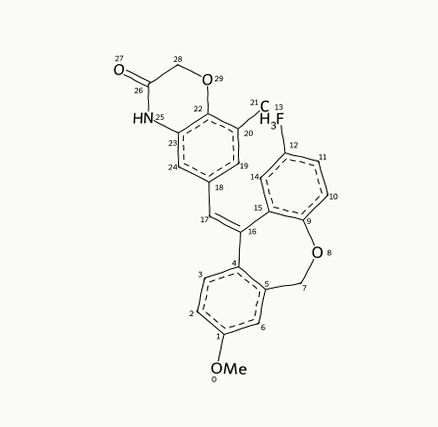 COc1ccc2c(c1)COc1ccc(F)cc1/C2=C\c1cc(C)c2c(c1)NC(=O)CO2